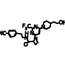 N#Cc1ccc(CCNC(=O)C2CCN2c2cc(N3CCC(CCO)CC3)nc(C(F)(F)F)n2)cc1